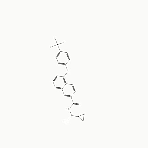 C[C@H](NC(=O)c1ccc2c(Oc3ccc(C(F)(F)F)cc3)cccc2c1)C1CC1